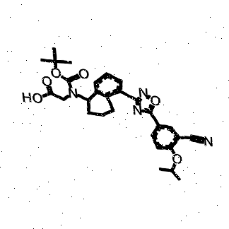 CC(C)Oc1ccc(-c2nc(-c3cccc4c3CCCC4N(CC(=O)O)C(=O)OC(C)(C)C)no2)cc1C#N